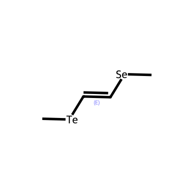 C[Se]/C=C/[Te]C